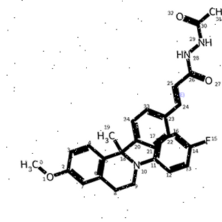 COc1ccc2c(c1)CCN(c1ccc(F)cc1)C2(C)c1ccc(/C=C/C(=O)NNC(C)=O)cc1